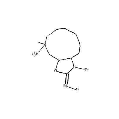 BC1(I)CCCCCCC2C(C1)O/C(=N/CC)N2C(C)C